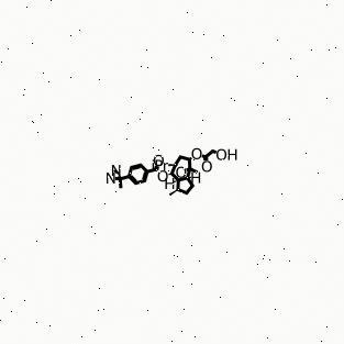 CC(C)[C@@]12C[C@@H](OC(=O)CO)C(C)(O1)[C@@H]1CC[C@@H](C)[C@H]1[C@@H]2OC(=O)c1ccc(C2(C)N=N2)cc1